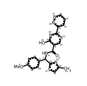 COc1ccc(C(NC(=O)c2cnc(-c3cccnn3)nc2O)c2nc(C)cs2)cc1